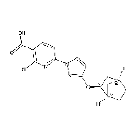 O=C(O)c1ccc(-n2ccc(O[C@H]3C[C@H]4CC[C@@H]3C4)n2)nc1Cl